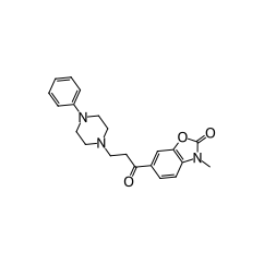 Cn1c(=O)oc2cc(C(=O)CCN3CCN(c4ccccc4)CC3)ccc21